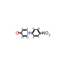 O=c1ccn(-c2ccc([N+](=O)[O-])cc2)cc1